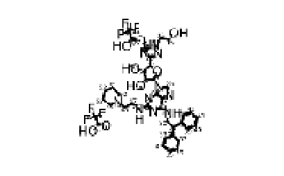 O=C(O)C(F)(F)F.O=C(O)C(F)(F)F.OCCn1nnc([C@H]2O[C@@H](n3cnc4c(NCC(c5ccccc5)c5ccccc5)nc(NCCN5CCCCC5)nc43)[C@H](O)[C@@H]2O)n1